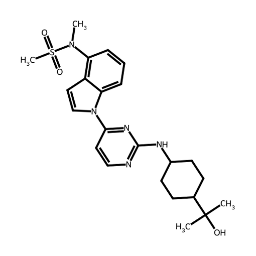 CN(c1cccc2c1ccn2-c1ccnc(NC2CCC(C(C)(C)O)CC2)n1)S(C)(=O)=O